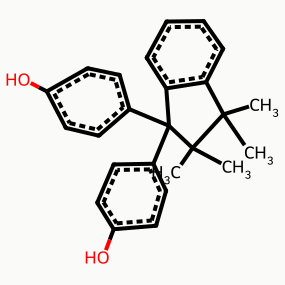 CC1(C)c2ccccc2C(c2ccc(O)cc2)(c2ccc(O)cc2)C1(C)C